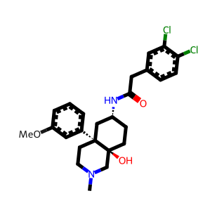 COc1cccc([C@@]23CCN(C)C[C@@]2(O)CC[C@@H](NC(=O)Cc2ccc(Cl)c(Cl)c2)C3)c1